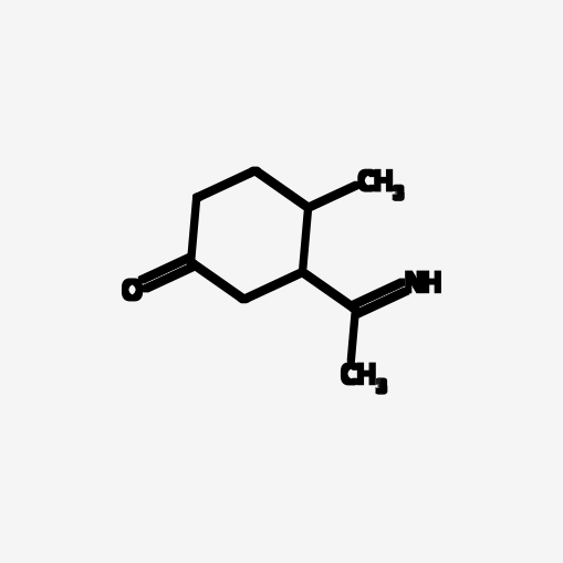 CC(=N)C1CC(=O)CCC1C